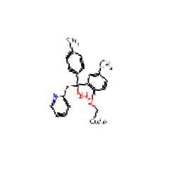 COCOc1ccc(C)cc1C(O)(Cc1ccccn1)c1ccc(C)cc1